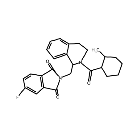 CC1CCCCC1C(=O)N1CCc2ccccc2C1CN1C(=O)c2ccc(F)cc2C1=O